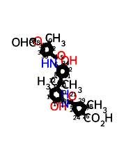 Cc1cc(C(=O)Nc2cc(C(C)(C)c3ccc(O)c(NC(=O)c4ccc(C(=O)O)c(C)c4)c3)ccc2O)ccc1OC=O